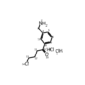 Cl.Cl.NCc1cccc(C(=O)CCCCl)c1